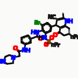 CCCC1CC(=O)C2=C(C1)NC(C)=C(C#N)C2c1cc(Br)c(NC(=O)c2cccc(NC(=O)CN3CCNCC3)c2)c(NS(=O)(=O)CCC)c1